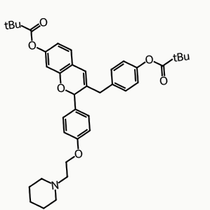 CC(C)(C)C(=O)Oc1ccc(CC2=Cc3ccc(OC(=O)C(C)(C)C)cc3OC2c2ccc(OCCN3CCCCC3)cc2)cc1